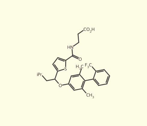 Cc1cc(OC(CC(C)C)c2ccc(C(=O)NCCC(=O)O)s2)cc(C)c1-c1ccccc1C(F)(F)F